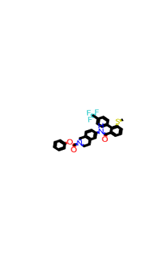 CSc1cccc(C(=O)Nc2ccc3c(c2)CCN(C(=O)Oc2ccccc2)C3)c1-c1ccc(C(F)(F)F)cc1